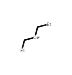 CC[CH2][Ge][CH2]CC